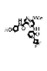 CNc1cc(Nc2cccn(C3CC(F)(F)C3)c2=O)nc2c(C(=O)NC3CC[C@H](O)C3)cnn12